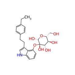 CCc1ccc(CCc2c[nH]c3cccc(O[C@]4(O)[C@H](O)O[C@H](CO)[C@@H](O)[C@@H]4O)c23)cc1